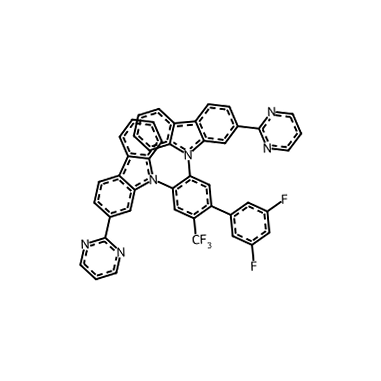 Fc1cc(F)cc(-c2cc(-n3c4ccccc4c4ccc(-c5ncccn5)cc43)c(-n3c4ccccc4c4ccc(-c5ncccn5)cc43)cc2C(F)(F)F)c1